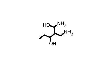 CCC(O)C(CN)C(N)O